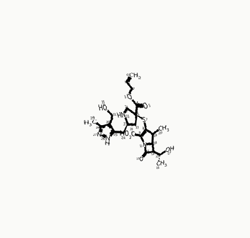 C=CCOC(=O)[C@@]1(SC2=C(C(=O)O)N3C(=O)C([C@@H](C)O)C3C2C)CN[C@H](Cc2[nH]nc(C)c2CO)C1